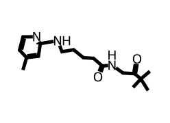 Cc1ccnc(NCCCCC(=O)NCC(=O)C(C)(C)C)c1